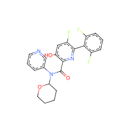 O=C(c1nc(-c2c(F)cccc2F)c(F)cc1O)N(c1cccnc1)C1CCCCO1